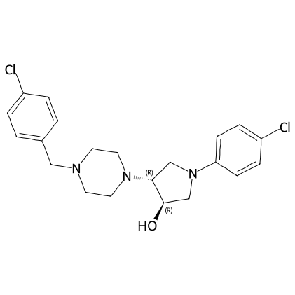 O[C@@H]1CN(c2ccc(Cl)cc2)C[C@H]1N1CCN(Cc2ccc(Cl)cc2)CC1